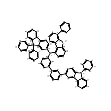 c1ccc(-c2cccc3c2oc2cccc(N(c4cccc(-c5cccc(-c6ccc7c(c6)c6ccccc6n7-c6ccccc6)c5)c4)c4ccc5c(c4)C(c4ccccc4)(c4ccccc4)c4ccccc4-5)c23)cc1